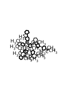 Cc1cc2c(cc1N1c3cc4c(cc3B3c5cc6c(cc5N(c5ccc7c(c5)sc5ccccc57)c5cc(N7c8ccc(-c9ccc(C(C)(C)C)cc9)cc8C8(C)CCCCC78C)cc1c53)C(C)(C)CC6(C)C)C(C)(C)c1ccccc1C4(C)C)C(C)(C)CCC2(C)C